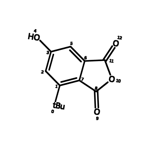 CC(C)(C)c1cc(O)cc2c1C(=O)OC2=O